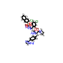 O=C(C[C@H](NS(=O)(=O)c1ccc2ccccc2c1)c1ccc(Cl)c(Cl)c1)N[C@@H](Cc1ccc(C2=NCCN2)cc1)C(=O)N1CCCC1